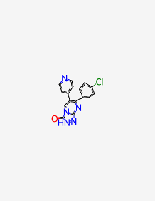 O=c1[nH]nc2nc(-c3ccc(Cl)cc3)c(-c3ccncc3)cn12